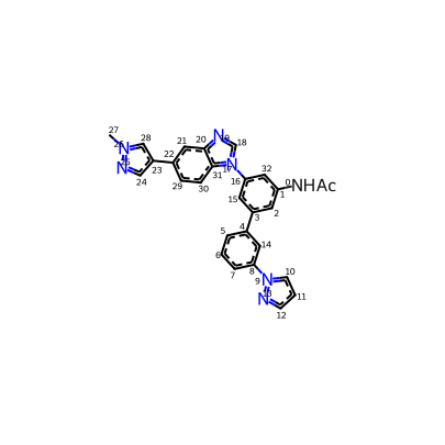 CC(=O)Nc1cc(-c2cccc(-n3cccn3)c2)cc(-n2cnc3cc(-c4cnn(C)c4)ccc32)c1